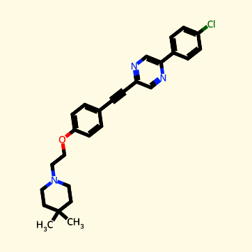 CC1(C)CCN(CCOc2ccc(C#Cc3cnc(-c4ccc(Cl)cc4)cn3)cc2)CC1